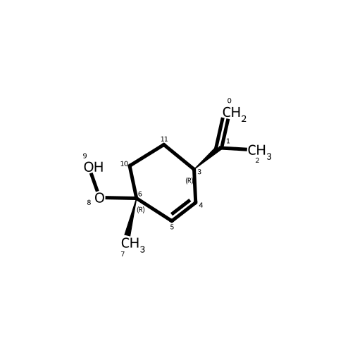 C=C(C)[C@H]1C=C[C@](C)(OO)CC1